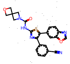 N#Cc1cccc(-c2nc(NC(=O)N3CC4(COC4)C3)sc2-c2ccc3ncoc3c2)c1